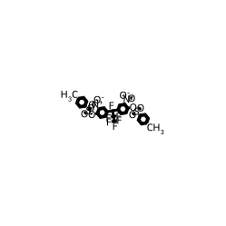 Cc1ccc(S(=O)(=O)Oc2ccc(C(F)(c3ccc(OS(=O)(=O)c4ccc(C)cc4)c([N+](=O)[O-])c3)C(F)(F)C(F)(F)F)cc2[N+](=O)[O-])cc1